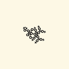 CC(C)(C)c1ccc(N(c2ccc(C(C)(C)C)cc2)c2ccc3c(c2)N(c2ccc(C(C)(C)C)c(-c4ccccc4)c2)c2cc(-c4cc5c6c(c4)Oc4ccc(-c7cccc8c7C(C)(C)CCC8(C)C)cc4B6c4ccccc4O5)cc4c2B3c2ccc(N(c3ccc(C(C)(C)C)cc3)c3ccc(C(C)(C)C)cc3)cc2N4c2ccc(C(C)(C)C)c(-c3ccccc3)c2)cc1